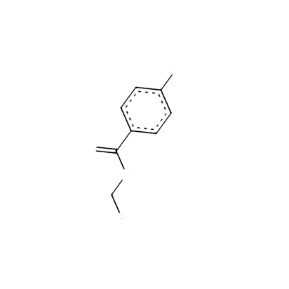 CC(=O)COC(=O)c1ccc(C)cc1